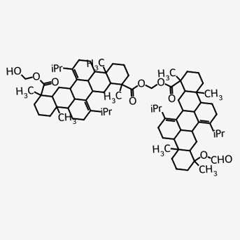 CC(C)C1=C2C3CC4C(C)(C(=O)OCOC(=O)C5(C)CCCC6(C)C7CCC(C(C)C)=C8C9CC%10C(C)(C(=O)OCO)CCCC%10(C)C%10CCC(C(C)C)=C(C(CC56)C87)C9%10)CCCC4(C)C4CCC(C(C)C)=C(C5CC6C(C)(OC=O)CCCC6(C)C(CC1)C25)C34